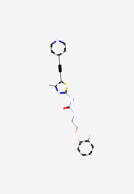 Cc1nc(NC(=O)NCCOc2ccccc2F)sc1C#Cc1ccncc1